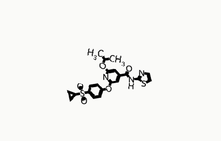 CC(C)Oc1cc(C(=O)Nc2nccs2)cc(Oc2ccc(S(=O)(=O)C3CC3)cc2)n1